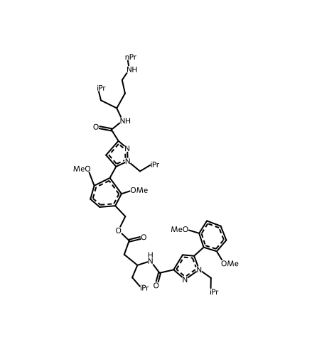 CCCNCCC(CC(C)C)NC(=O)c1cc(-c2c(OC)ccc(COC(=O)CC(CC(C)C)NC(=O)c3cc(-c4c(OC)cccc4OC)n(CC(C)C)n3)c2OC)n(CC(C)C)n1